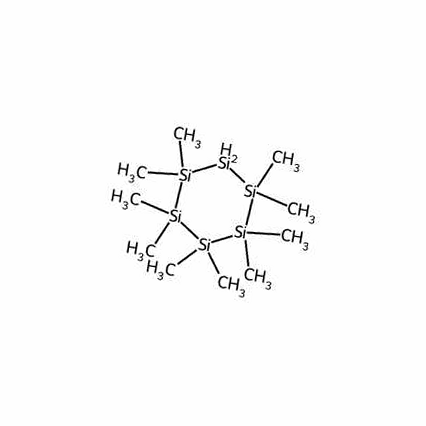 C[Si]1(C)[SiH2][Si](C)(C)[Si](C)(C)[Si](C)(C)[Si]1(C)C